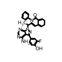 CC(c1cc2c(c(=O)n1-c1ccccc1)=CCCC=2)n1nc(-c2ccc(O)c(F)c2)c2c(N)ncnc21